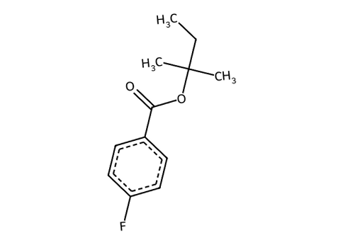 CCC(C)(C)OC(=O)c1ccc(F)cc1